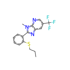 CCCSc1ccccc1-c1nc2cc(C(F)(F)F)cnc2n1C